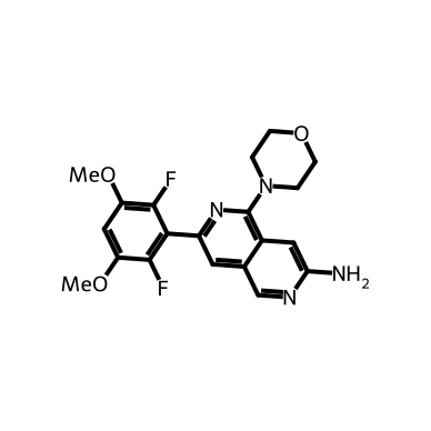 COc1cc(OC)c(F)c(-c2cc3cnc(N)cc3c(N3CCOCC3)n2)c1F